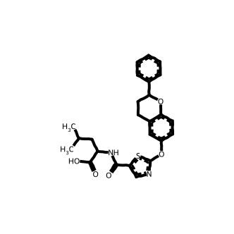 CC(C)CC(NC(=O)c1cnc(Oc2ccc3c(c2)CCC(c2ccccc2)O3)s1)C(=O)O